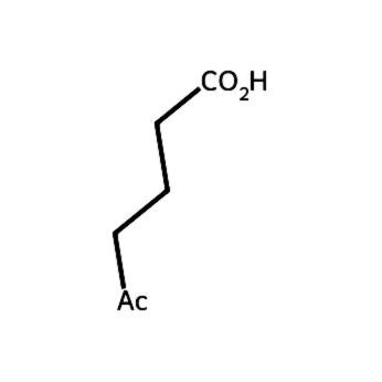 [CH2]C(=O)CCCC(=O)O